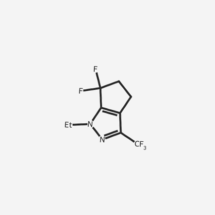 CCn1nc(C(F)(F)F)c2c1C(F)(F)CC2